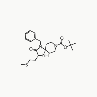 CSCC[C@@H]1NC2(CCN(C(=O)OC(C)(C)C)CC2)N(Cc2ccccc2)C1=O